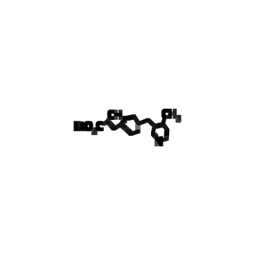 CCOC(=O)C(C)=Cc1ccc(Cc2cnccc2C)cc1